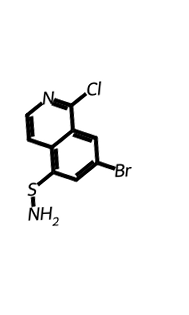 NSc1cc(Br)cc2c(Cl)nccc12